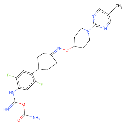 Cc1cnc(N2CCC(ON=C3CCC(c4cc(F)c(NC(=N)OC(N)=O)cc4F)CC3)CC2)nc1